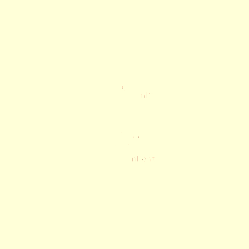 CCCCCC(=O)C1(c2ccc(C(=O)CCC)cc2)CCCCC1